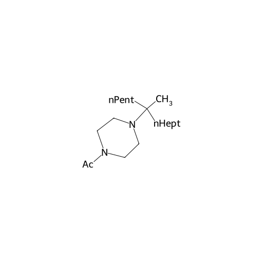 CCCCCCCC(C)(CCCCC)N1CCN(C(C)=O)CC1